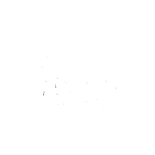 CC(C)[C@H]1C(=O)N(S(C)(=O)=O)C2=CCN(C(=O)c3cc(CN(C)C)n(C)n3)[C@@H]21